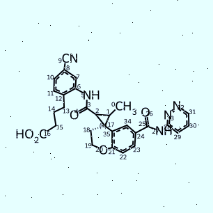 CC1C(C(=O)Nc2cc(C#N)ccc2CCCC(=O)O)[C@@]12CCOc1ccc(C(=O)Nc3cccnn3)cc12